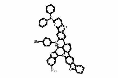 CC(C)(C)c1ccc(Nc2cc3c(cc2-c2ccc4c5cc6c(cc5n5c4c2Bc2oc4ccc(C(C)(C)C)cc4c2-5)oc2ccccc26)oc2ccc(N(c4ccccc4)c4ccccc4)cc23)cc1